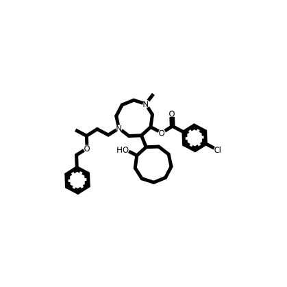 CC(CCN1CCCN(C)CC(OC(=O)c2ccc(Cl)cc2)C(C2CCCCCCCC2O)C1)OCc1ccccc1